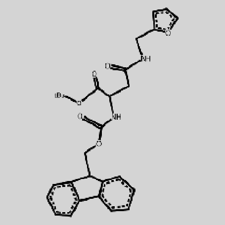 CC(C)(C)OC(=O)C(CC(=O)NCc1ccco1)NC(=O)OCC1c2ccccc2-c2ccccc21